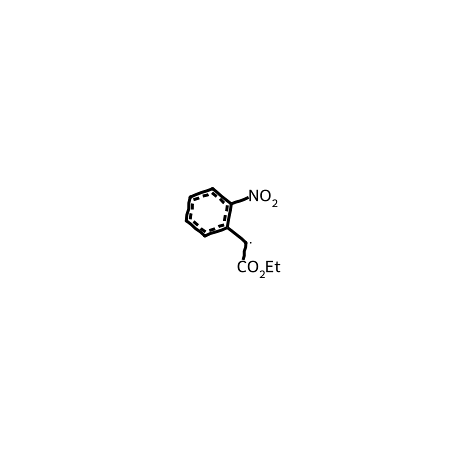 CCOC(=O)[CH]c1ccccc1[N+](=O)[O-]